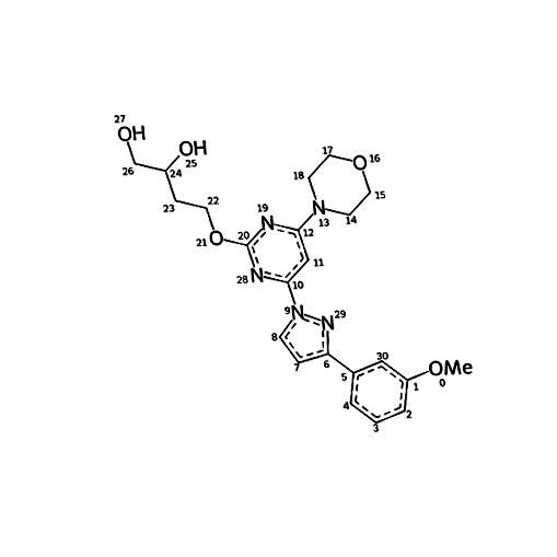 COc1cccc(-c2ccn(-c3cc(N4CCOCC4)nc(OCCC(O)CO)n3)n2)c1